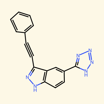 C(#Cc1n[nH]c2ccc(-c3nnn[nH]3)cc12)c1ccccc1